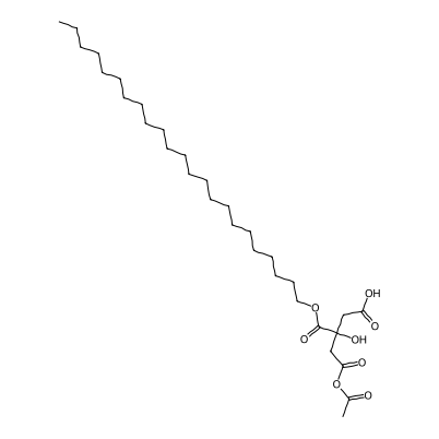 CCCCCCCCCCCCCCCCCCCCCCCOC(=O)C(O)(CC(=O)O)CC(=O)OC(C)=O